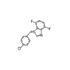 Fc1ccc(F)c2c1N=C[SH]2Cc1ccc(Cl)cc1